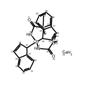 C[Si](C)(C)C(=O)[NH][Zr]([NH]C(=O)[Si](C)(C)C)([CH]1C=Cc2ccccc21)[CH]1C=Cc2ccccc21.[GaH3]